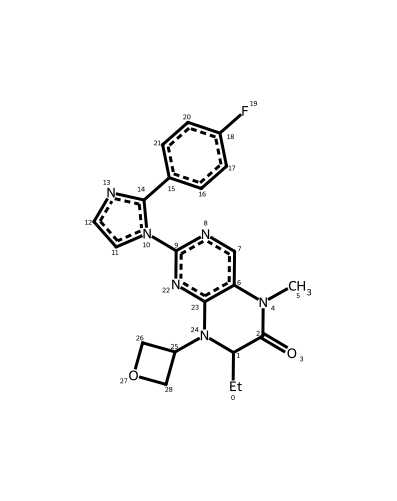 CCC1C(=O)N(C)c2cnc(-n3ccnc3-c3ccc(F)cc3)nc2N1C1COC1